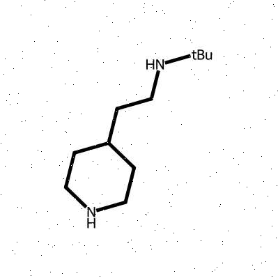 CC(C)(C)NCCC1CCNCC1